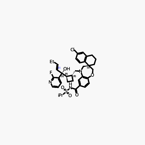 CC/C=C/[C@](O)(c1cccnc1F)[C@@H]1CC[C@H]1CN1C[C@@]2(CCCc3cc(Cl)ccc32)COc2ccc(C(=O)NS(=O)(=O)C(C)C)cc21